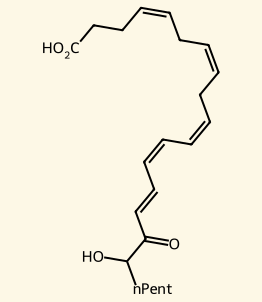 CCCCCC(O)C(=O)/C=C/C=C\C=C/C/C=C\C/C=C\CCC(=O)O